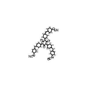 N#COC1CCC(CC2CCC(n3c(=O)n(C4CCC(CC5CCC(N=C=O)CC5)CC4)c(=O)n(C4CCC(CC5CCC(OC#N)CC5)CC4)c3=O)CC2)CC1